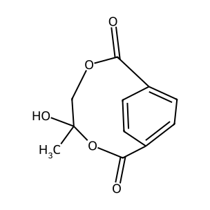 CC1(O)COC(=O)c2ccc(cc2)C(=O)O1